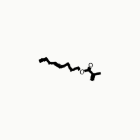 C=CCC=CCCCOC(=O)C(=C)C